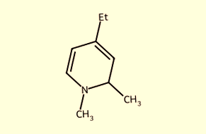 CCC1=CC(C)N(C)C=C1